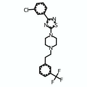 FC(F)(F)c1cccc(CCN2CCN(c3nc(-c4cccc(Cl)c4)ns3)CC2)c1